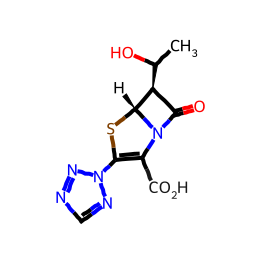 CC(O)[C@H]1C(=O)N2C(C(=O)O)=C(n3ncnn3)S[C@H]12